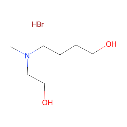 Br.CN(CCO)CCCCO